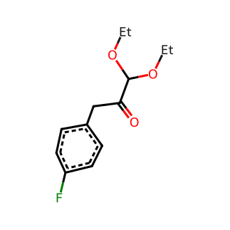 CCOC(OCC)C(=O)Cc1ccc(F)cc1